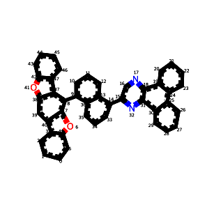 c1ccc2c(c1)oc1c(-c3cccc4c(-c5cnc6c7ccccc7c7ccccc7c6n5)cccc34)c3c(cc12)oc1ccccc13